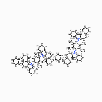 N#Cc1c(C#N)c(-n2c3ccccc3c3c4cccc(-c5ccc6c(c5)-c5cccc7c5c-6cc5c6ccccc6n(-c6c(C#N)c(C#N)c(-n8c9ccccc9c9cc%10c%11c(cccc%11c98)-c8ccccc8-%10)c(C#N)c6C#N)c75)c4ccc32)c(C#N)c(C#N)c1-n1c2ccccc2c2c3ccccc3ccc21